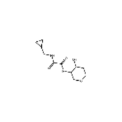 O=C(NCC1CC1)C(=O)NC1COCCC1O